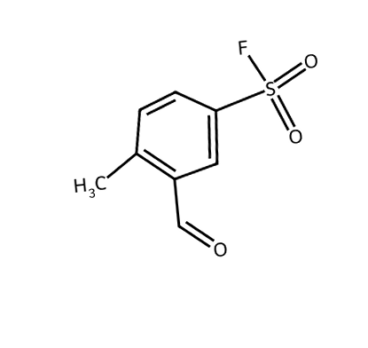 Cc1ccc(S(=O)(=O)F)cc1C=O